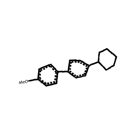 COc1ccc(-c2ccc(C3CCCCC3)cc2)cc1